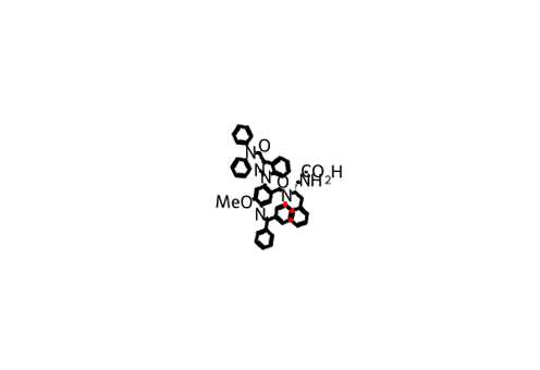 COc1cc(-n2nc(C(=O)N(c3ccccc3)c3ccccc3)c3ccccc32)c(C(=O)N2Cc3ccccc3C[C@H]2CNC(=O)O)cc1N=C(c1ccccc1)c1ccccc1